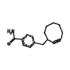 NC(=O)c1ccc(CC2C#CCCCCC2)cc1